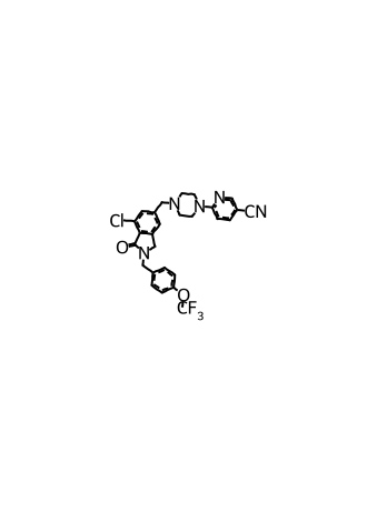 N#Cc1ccc(N2CCN(Cc3cc(Cl)c4c(c3)CN(Cc3ccc(OC(F)(F)F)cc3)C4=O)CC2)nc1